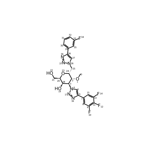 CO[C@@H]1[C@@H](n2cc(-c3cc(F)c(F)c(F)c3)nn2)[C@@H](O)[C@@H](CO)O[C@@H]1Cn1cc(-c2cccc(F)c2)nn1